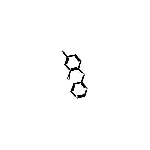 Cc1ccc(Oc2ccncn2)c(Cl)c1